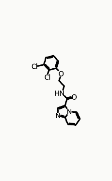 O=C(NCCOc1cccc(Cl)c1Cl)c1cnc2ccccn12